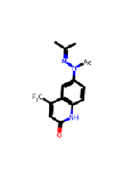 CC(=O)N(N=C(C)C)c1ccc2[nH]c(=O)cc(C(F)(F)F)c2c1